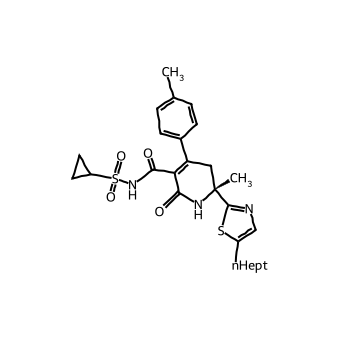 CCCCCCCc1cnc([C@@]2(C)CC(c3ccc(C)cc3)=C(C(=O)NS(=O)(=O)C3CC3)C(=O)N2)s1